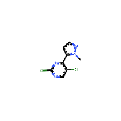 Cn1nccc1-c1nc(Cl)ncc1Cl